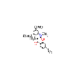 C=C(C(=O)c1ccc(CC(C)C)cc1)C(=O)N(C)c1cc(OC)cc(OC)c1